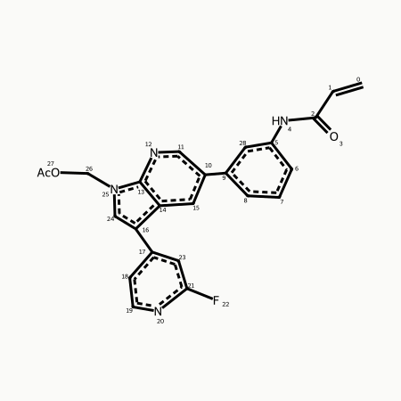 C=CC(=O)Nc1cccc(-c2cnc3c(c2)c(-c2ccnc(F)c2)cn3COC(C)=O)c1